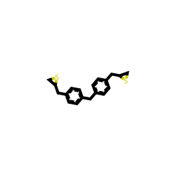 c1cc(CC2CS2)ccc1Cc1ccc(CC2CS2)cc1